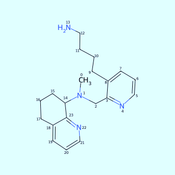 CN(Cc1ncccc1CCCCN)C1CCCc2cccnc21